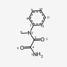 CN(C(=O)C(N)=O)c1ccccc1